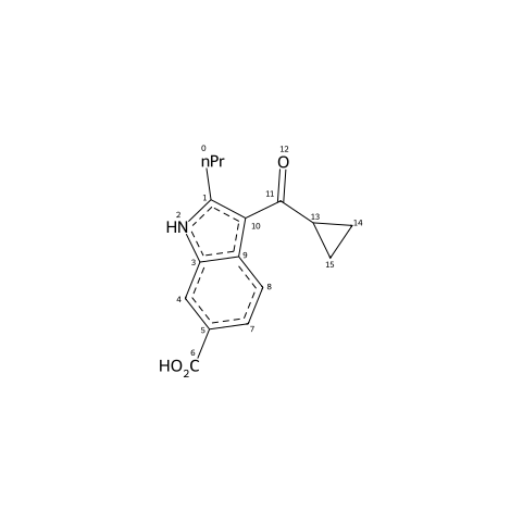 CCCc1[nH]c2cc(C(=O)O)ccc2c1C(=O)C1CC1